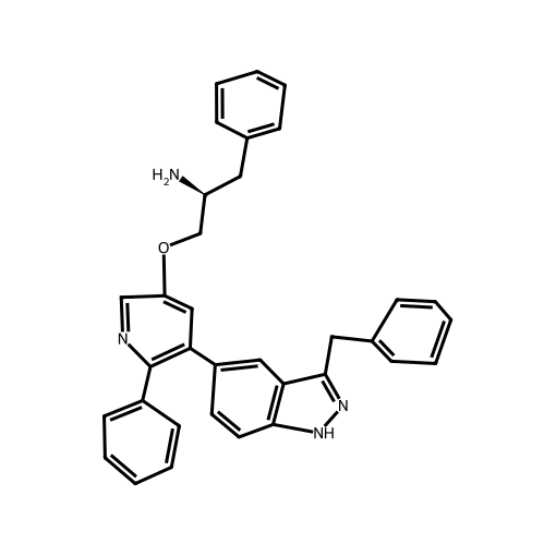 N[C@H](COc1cnc(-c2ccccc2)c(-c2ccc3[nH]nc(Cc4ccccc4)c3c2)c1)Cc1ccccc1